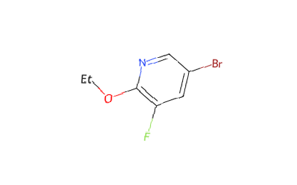 CCOc1ncc(Br)cc1F